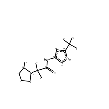 CC1CCCN1C(C)(C)C(=O)Nc1cc(C(C)(C)C)on1